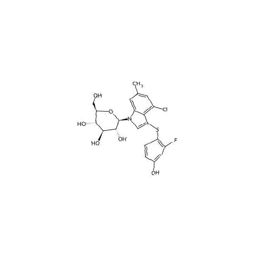 Cc1cc(Cl)c2c(Sc3ccc(O)cc3F)cn([C@@H]3O[C@H](CO)[C@@H](O)[C@H](O)[C@H]3O)c2c1